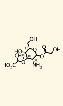 CC(O[C@H]1[C@H](O)[C@@H](CO)OC(OC(=O)CO)[C@@H]1N)C(=O)O